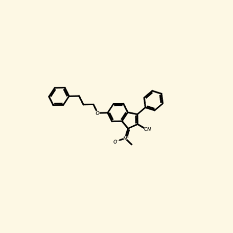 C/[N+]([O-])=C1\C(C#N)=C(c2ccccc2)c2ccc(OCCCc3ccccc3)cc21